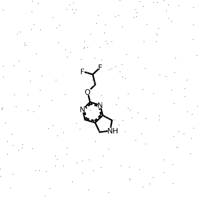 FC(F)COc1ncc2c(n1)CNC2